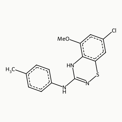 COc1cc(Cl)cc2c1NC(Nc1ccc(C)cc1)=NS2